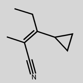 CCC(=C(C)C#N)C1CC1